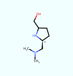 CN(C)C[C@@H]1CCC(CO)N1